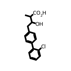 CC(C(=O)O)C(O)Cc1ccc(-c2ccccc2Cl)cc1